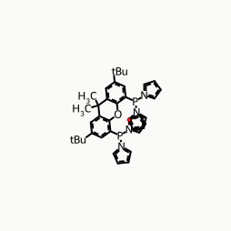 CC(C)(C)c1cc(P(n2cccc2)n2cccc2)c2c(c1)C(C)(C)c1cc(C(C)(C)C)cc(P(n3cccc3)n3cccc3)c1O2